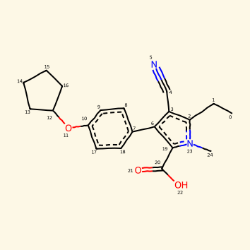 CCc1c(C#N)c(-c2ccc(OC3CCCC3)cc2)c(C(=O)O)n1C